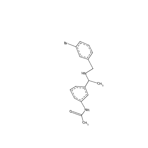 CC(=O)Nc1cccc(C(C)NCc2cccc(Br)c2)c1